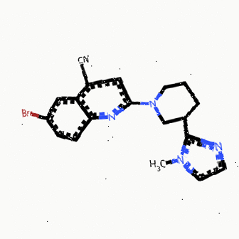 Cn1ccnc1C1CCCN(c2cc(C#N)c3cc(Br)ccc3n2)C1